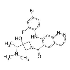 CC(N(C)C)C1(O)CN(C(=O)c2cc3ccnnc3cc2Nc2ccc(Br)cc2F)C1